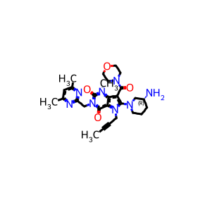 CC#CCn1c(N2CCC[C@@H](N)C2)c(C(=O)N2CCOCC2)c2c1c(=O)n(Cc1nc(C)cc(C)n1)c(=O)n2C